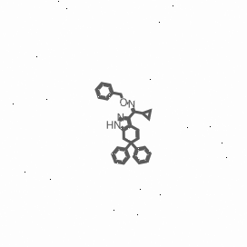 C1=CC(c2ccccc2)(c2ccccc2)Cc2[nH]nc(/C(=N\OCc3ccccc3)C3CC3)c21